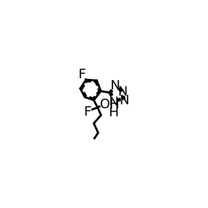 CCCCC(O)(F)c1ccc(F)cc1-c1nnn[nH]1